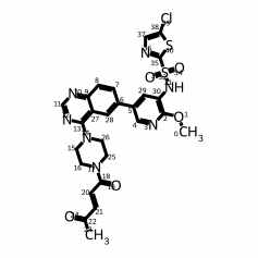 COc1ncc(-c2ccc3ncnc(N4CCN(C(=O)/C=C/C(C)=O)CC4)c3c2)cc1NS(=O)(=O)c1ncc(Cl)s1